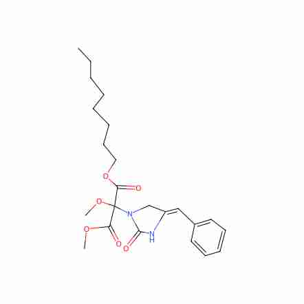 CCCCCCCCOC(=O)C(OC)(C(=O)OC)N1CC(=Cc2ccccc2)NC1=O